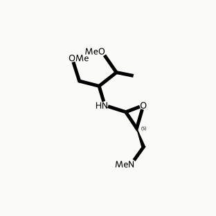 CNC[C@@H]1OC1NC(COC)C(C)OC